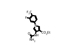 CCOC(=O)c1cn(-c2ccc(C(F)(F)F)c(F)c2)cc1NC(N)=O